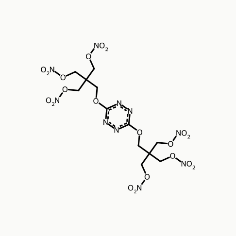 O=[N+]([O-])OCC(COc1nnc(OCC(CO[N+](=O)[O-])(CO[N+](=O)[O-])CO[N+](=O)[O-])nn1)(CO[N+](=O)[O-])CO[N+](=O)[O-]